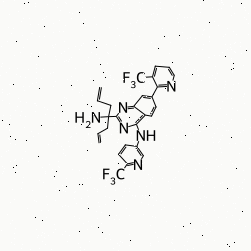 C=CCC(N)(CC=C)c1nc(Nc2ccc(C(F)(F)F)nc2)c2ccc(-c3ncccc3C(F)(F)F)cc2n1